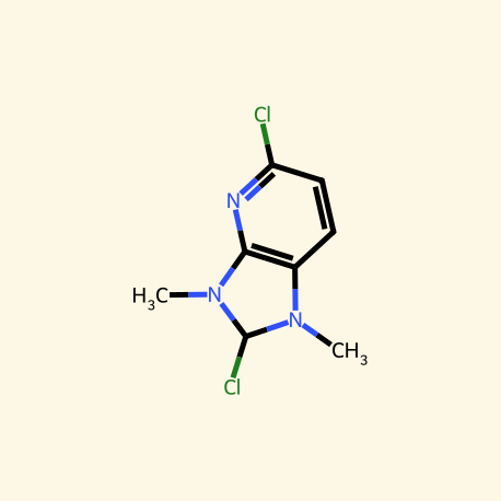 CN1c2ccc(Cl)nc2N(C)C1Cl